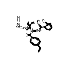 CCc1ccc(C(=O)N(NC(=O)c2ccccc2Cl)C(C)(C)C)cc1.Cl.Cl.Cl